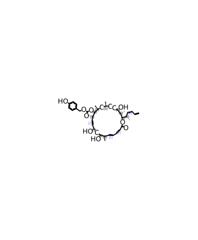 C=C/C=C\[C@H](C)[C@@H]1OC(=O)/C=C\C=C\[C@@H](C)[C@@H](O)C[C@H](O)/C=C\[C@H](C)[C@H](OC(=O)OCc2ccc(O)cc2)[C@@H](C)C[C@@H](C)CC[C@@H](O)[C@@H]1C